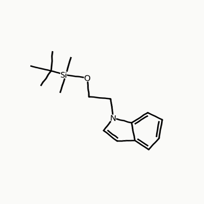 CC(C)(C)[Si](C)(C)OCCn1ccc2ccccc21